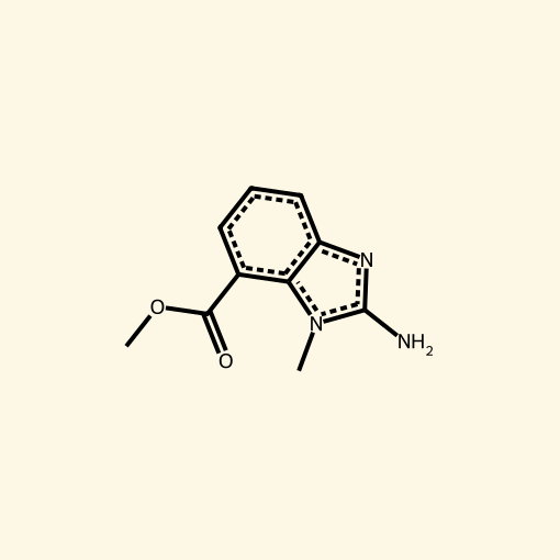 COC(=O)c1cccc2nc(N)n(C)c12